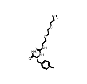 Cc1ccc(C[C@H](NC(=O)NCCOCCOCCN)C(N)=O)cc1